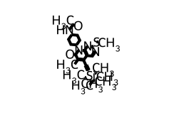 CSc1ncc2c(C#C[Si](C(C)C)(C(C)C)C(C)C)c(C)c(=O)n(C3CCC(NC(C)=O)CC3)c2n1